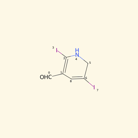 O=CC1=C(I)NCC(I)=C1